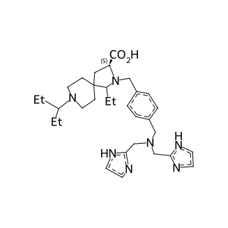 CCC(CC)N1CCC2(CC1)C[C@@H](C(=O)O)N(Cc1ccc(CN(Cc3ncc[nH]3)Cc3ncc[nH]3)cc1)C2CC